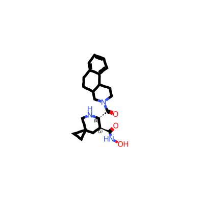 O=C(NO)[C@H]1CC2(CC2)CN[C@@H]1C(=O)N1CCC2c3ccccc3CCC2C1